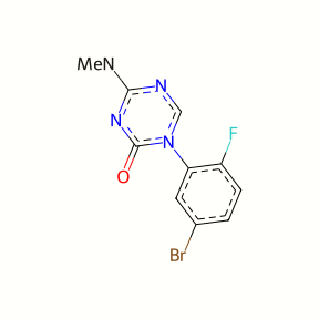 CNc1ncn(-c2cc(Br)ccc2F)c(=O)n1